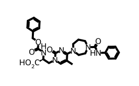 Cc1cn(C[C@H](NC(=O)OCc2ccccc2)C(=O)O)c(=O)nc1N1CCCN(C(=O)Nc2ccccc2)CC1